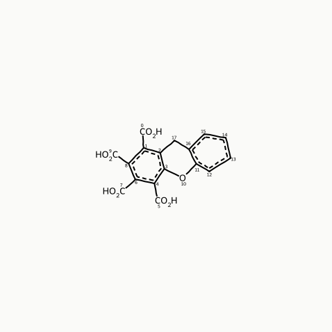 O=C(O)c1c2c(c(C(=O)O)c(C(=O)O)c1C(=O)O)Oc1ccccc1C2